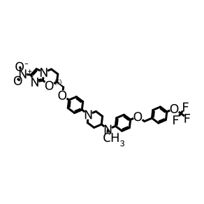 CN(c1ccc(OCc2ccc(OC(F)(F)F)cc2)cc1)C1CCN(c2ccc(OC[C@@H]3CCn4cc([N+](=O)[O-])nc4O3)cc2)CC1